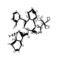 Fc1ccccc1C1=N[C@H](Cc2c[nH]c3ccccc23)c2nnc(C(Cl)(Cl)Cl)n2-c2ccccc21